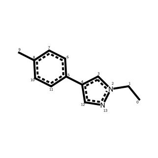 CCn1cc(-c2ccc(C)cc2)cn1